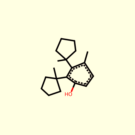 Cc1ccc(O)c(C2(C)CCCC2)c1C1(C)CCCC1